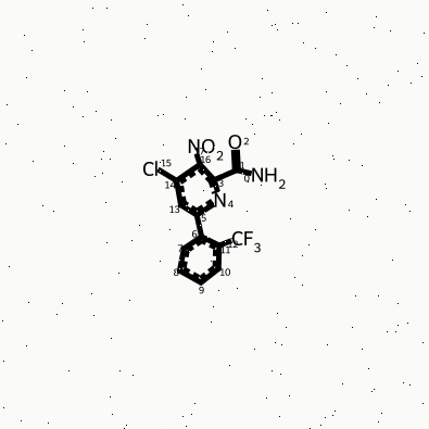 NC(=O)c1nc(-c2ccccc2C(F)(F)F)cc(Cl)c1[N+](=O)[O-]